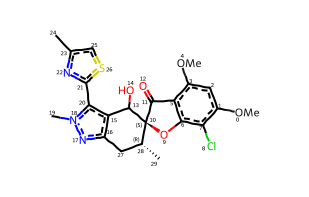 COc1cc(OC)c2c(c1Cl)O[C@]1(C2=O)C(O)c2c(nn(C)c2-c2nc(C)cs2)C[C@H]1C